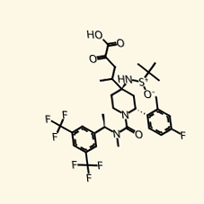 Cc1cc(F)ccc1[C@H]1C[C@@](N[S+]([O-])C(C)(C)C)(C(C)CC(=O)C(=O)O)CCN1C(=O)N(C)[C@H](C)c1cc(C(F)(F)F)cc(C(F)(F)F)c1